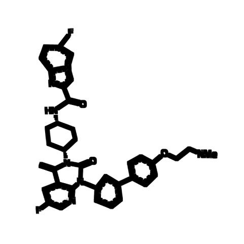 C=C1c2cc(F)cnc2N(c2cccc(-c3ccc(OCCNC)cc3)c2)C(=O)N1[C@H]1CC[C@@H](NC(=O)c2cn3cc(F)ccc3n2)CC1